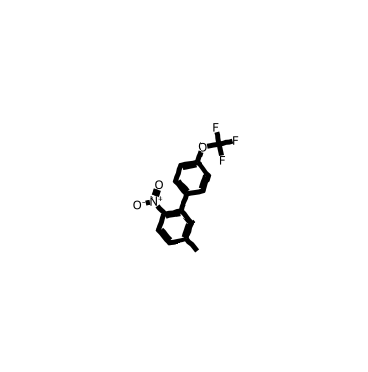 Cc1ccc([N+](=O)[O-])c(-c2ccc(OC(F)(F)F)cc2)c1